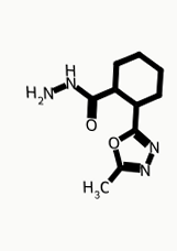 Cc1nnc(C2CCCCC2C(=O)NN)o1